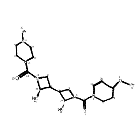 CC(C)OC1CCN(C(=O)N2CC(C3CN(C(=O)N4CCN(C(C)C)CC4)[C@@H]3C#N)[C@H]2C#N)CC1